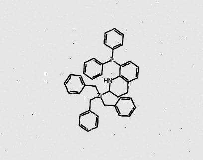 c1ccc([CH2][Zr]([CH2]c2ccccc2)([CH2]c2ccccc2)[CH]2CCc3cccc(P(c4ccccc4)c4ccccc4)c3N2)cc1